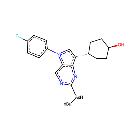 CCCC[AsH]c1ncc2c(n1)c([C@H]1CC[C@H](O)CC1)cn2-c1ccc(F)cc1